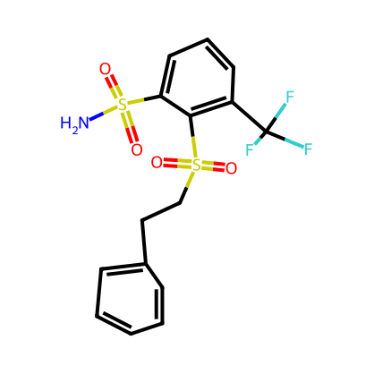 NS(=O)(=O)c1cccc(C(F)(F)F)c1S(=O)(=O)CCc1ccccc1